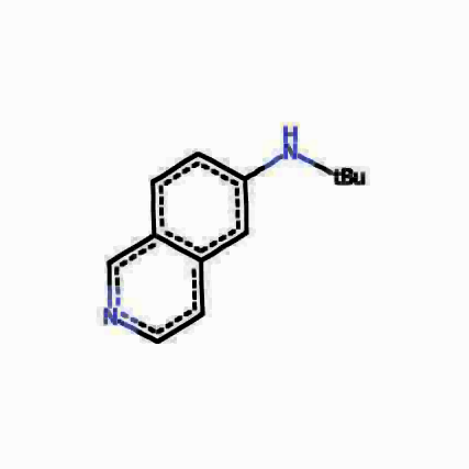 CC(C)(C)Nc1ccc2cnccc2c1